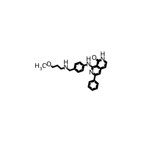 COCCCNCc1ccc(Nc2nc(-c3ccccc3)cc3cc[nH]c(=O)c23)cc1